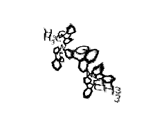 CC1(C)c2ccccc2-c2ccc(N(c3ccc4c(c3)Oc3cccc5c(N(c6ccc7c(c6)C(C)(C)c6ccccc6-7)c6cccc7c6sc6ccccc67)ccc-4c35)c3cccc4c3sc3ccccc34)cc21